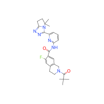 CC(C)(C)C(=O)N1CCc2cc(F)c(C(=O)Nc3cccc(-c4nnc5n4C(C)(C)CC5)n3)cc2C1